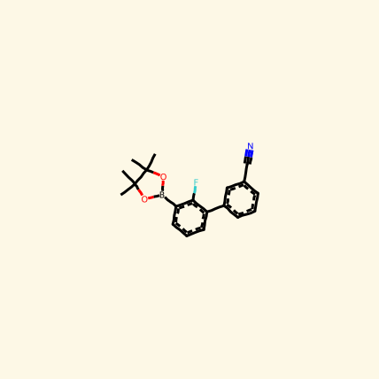 CC1(C)OB(c2cccc(-c3cccc(C#N)c3)c2F)OC1(C)C